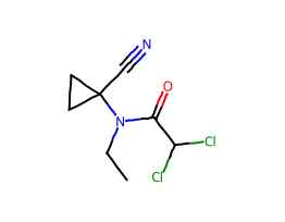 CCN(C(=O)C(Cl)Cl)C1(C#N)CC1